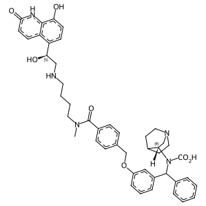 CN(CCCCNC[C@@H](O)c1ccc(O)c2[nH]c(=O)ccc12)C(=O)c1ccc(COc2cccc(C(c3ccccc3)N(C(=O)O)[C@H]3CN4CCC3CC4)c2)cc1